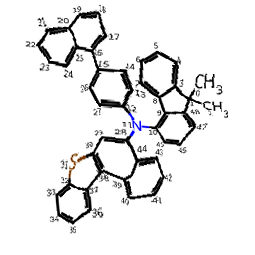 CC1(C)c2ccccc2-c2c(N(c3ccc(-c4cccc5ccccc45)cc3)c3cc4sc5ccccc5c4c4ccccc34)cccc21